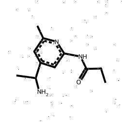 CCC(=O)Nc1cc(C(C)N)cc(C)n1